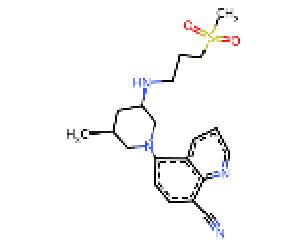 C[C@H]1C[C@@H](NCCCS(C)(=O)=O)CN(c2ccc(C#N)c3ncccc23)C1